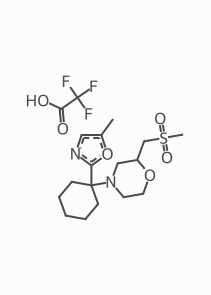 Cc1cnc(C2(N3CCOC(CS(C)(=O)=O)C3)CCCCC2)o1.O=C(O)C(F)(F)F